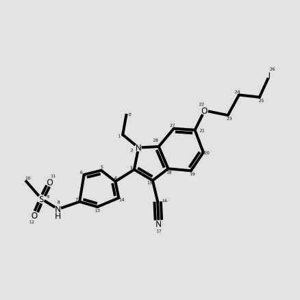 CCn1c(-c2ccc(NS(C)(=O)=O)cc2)c(C#N)c2ccc(OCCCI)cc21